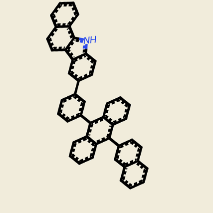 c1cc(-c2ccc3[nH]c4c5ccccc5ccc4c3c2)cc(-c2c3ccccc3c(-c3ccc4ccccc4c3)c3ccccc23)c1